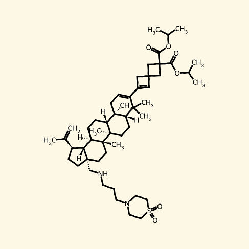 C=C(C)[C@@H]1CC[C@]2(CNCCCN3CCS(=O)(=O)CC3)CC[C@]3(C)[C@H](CC[C@@H]4[C@@]5(C)CC=C(C6=CC7(C6)CC(C(=O)OC(C)C)(C(=O)OC(C)C)C7)C(C)(C)[C@@H]5CC[C@]43C)[C@@H]12